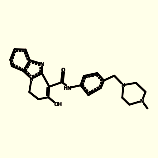 CN1CCN(Cc2ccc(NC(=O)C3=C(O)CCn4c3nc3ccccc34)cc2)CC1